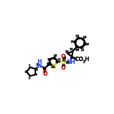 O=C(NC1CCCC1)c1ccc(S(=O)(=O)NC2(C(=O)O)CC2c2ccccc2)s1